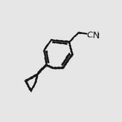 N#CCc1ccc(C2CC2)cc1